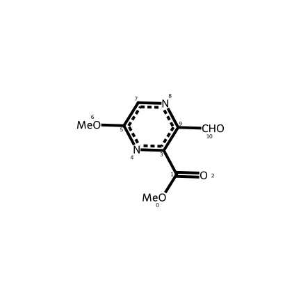 COC(=O)c1nc(OC)cnc1C=O